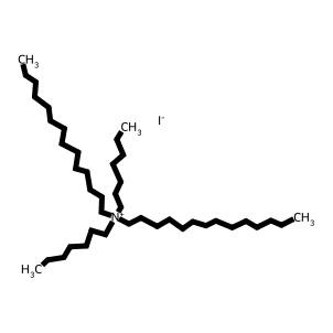 CCCCCCCCCCCCCC[N+](CCCCCCC)(CCCCCCC)CCCCCCCCCCCCCC.[I-]